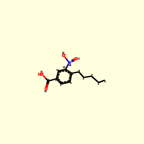 CCCCCc1ccc(C(=O)O)cc1[N+](=O)[O-]